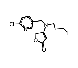 O=C1C=C(N(CCCI)Cc2ccc(Cl)nc2)CO1